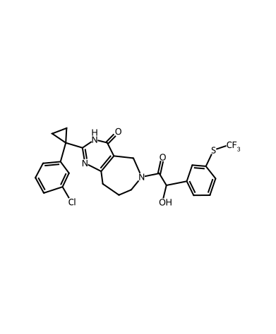 O=C(C(O)c1cccc(SC(F)(F)F)c1)N1CCCc2nc(C3(c4cccc(Cl)c4)CC3)[nH]c(=O)c2C1